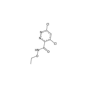 CCONC(=O)c1nnc(Cl)cc1Cl